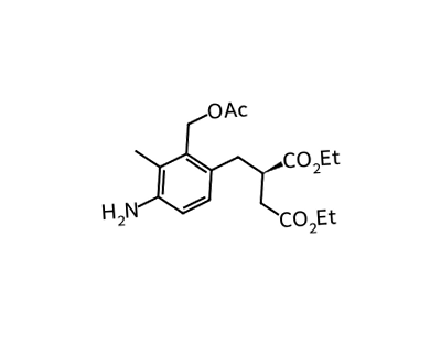 CCOC(=O)C[C@@H](Cc1ccc(N)c(C)c1COC(C)=O)C(=O)OCC